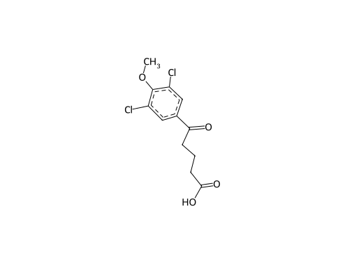 COc1c(Cl)cc(C(=O)CCCC(=O)O)cc1Cl